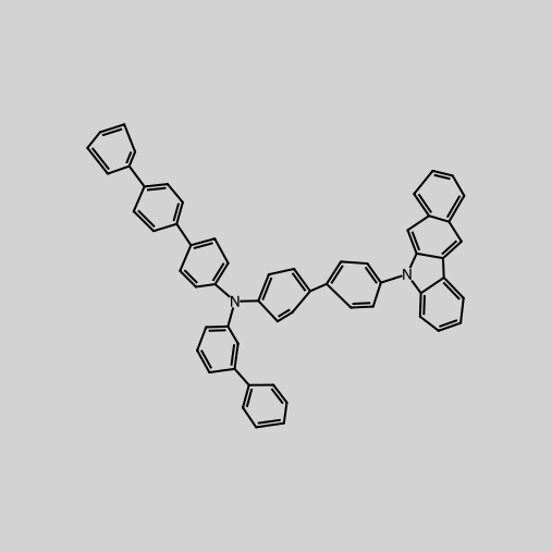 c1ccc(-c2ccc(-c3ccc(N(c4ccc(-c5ccc(-n6c7ccccc7c7cc8ccccc8cc76)cc5)cc4)c4cccc(-c5ccccc5)c4)cc3)cc2)cc1